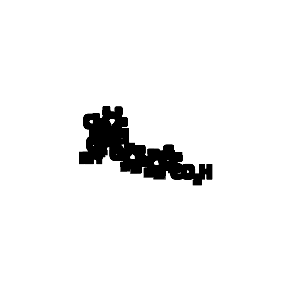 CCCc1onc(-c2c(Cl)cccc2Cl)c1COc1ccc(-c2ccc3c(C(=O)O)csc3c2)cc1